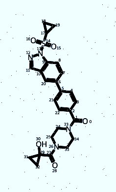 O=C(c1ccc(-c2ccc3c(cnn3S(=O)(=O)C3CC3)c2)cc1)N1CCN(C(=O)C2(O)CC2)CC1